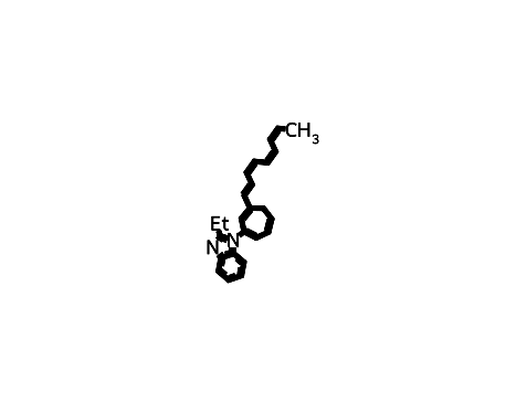 C\C=C/C=C\C=C/C=C/C1=CC(n2c(CC)nc3ccccc32)=CC=CC1